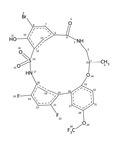 C[C@H]1CNC(=O)c2cc(Br)c(O)c(c2)S(=O)(=O)Nc2cc(c(F)cc2F)-c2cc(OC(F)(F)F)ccc2O1